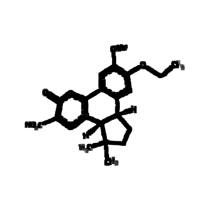 COc1cc2c(cc1OCC(F)(F)F)[C@@H]1CCC(C)(C)[C@@H]1n1cc(C(=O)O)c(=O)cc1-2